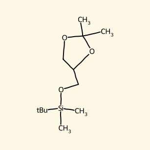 CC1(C)OCC(CO[Si](C)(C)C(C)(C)C)O1